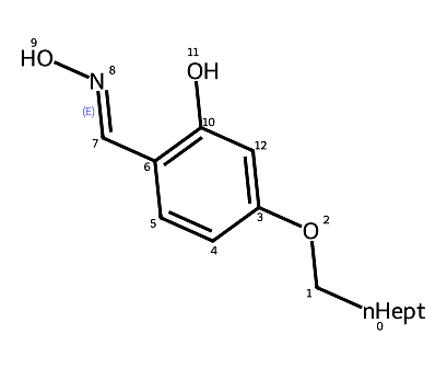 CCCCCCCCOc1ccc(/C=N/O)c(O)c1